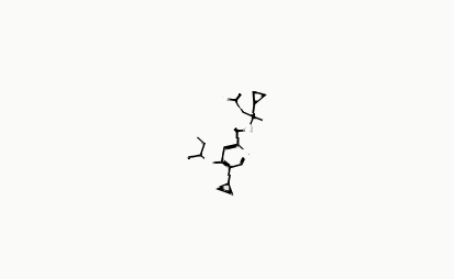 CC(CF)Oc1cc(C(=O)NC(C)(CC(N)=O)C2CC2)ncc1C1CC1